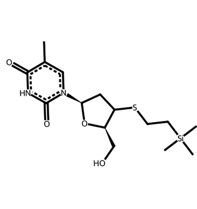 Cc1cn([C@H]2CC(SCC[Si](C)(C)C)[C@@H](CO)O2)c(=O)[nH]c1=O